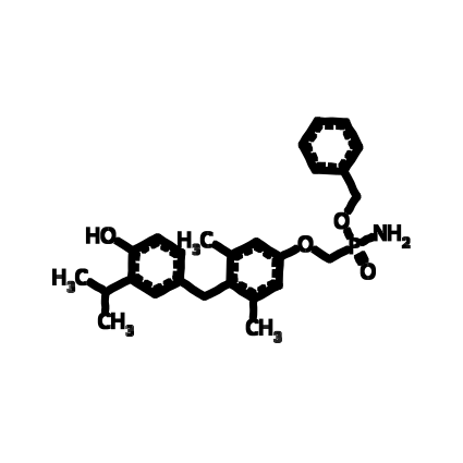 Cc1cc(OCP(N)(=O)OCc2ccccc2)cc(C)c1Cc1ccc(O)c(C(C)C)c1